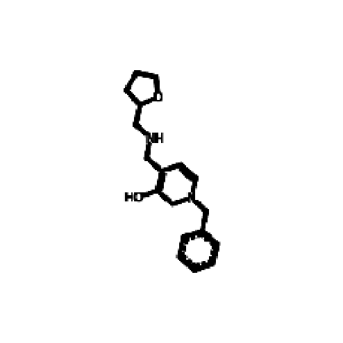 OC1=C(CNCC2CCCO2)C=CN(Cc2ccccc2)C1